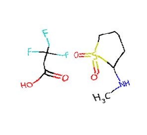 CNC1CCCS1(=O)=O.O=C(O)C(F)(F)F